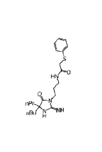 CCCCC1(CCC)NC(=N)N(CCCNC(=O)CSc2ccccc2)C1=O